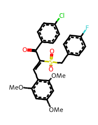 COc1cc(OC)c(/C=C(/C(=O)c2ccc(Cl)cc2)S(=O)(=O)Cc2ccc(F)cc2)c(OC)c1